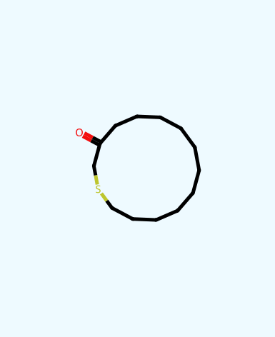 O=C1CCCCCCCCCCCSC1